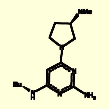 CC[C@@H](C)Nc1cc(N2CC[C@@H](NC)C2)nc(N)n1